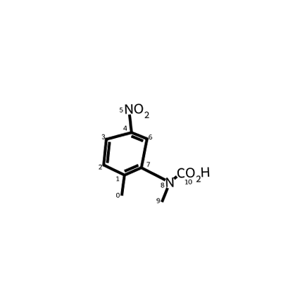 Cc1ccc([N+](=O)[O-])cc1N(C)C(=O)O